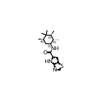 C[C@@H]1[C@@H](NC(=O)c2cc3scnc3[nH]2)C[C@@H](C)C(C)(C)[C@H]1C